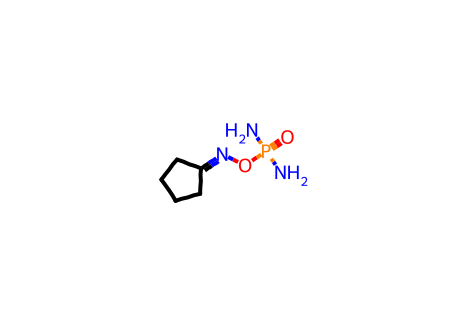 NP(N)(=O)ON=C1CCCC1